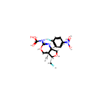 O=C(O)NC1=N[C@@]2(c3cc([N+](=O)[O-])ccc3F)CO[C@H](CF)[C@H]2CO1